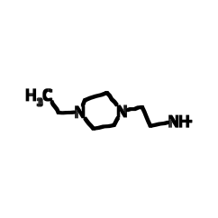 CCN1CCN(CC[NH])CC1